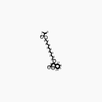 C=C(C)C(=O)OCCCCCCCCCCCOc1cc(=O)oc2ccccc12